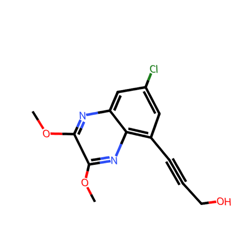 COc1nc2cc(Cl)cc(C#CCO)c2nc1OC